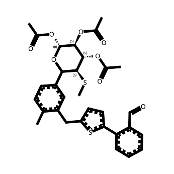 CS[C@H]1C(c2ccc(C)c(Cc3ccc(-c4ccccc4C=O)s3)c2)O[C@H](OC(C)=O)[C@@H](OC(C)=O)[C@@H]1OC(C)=O